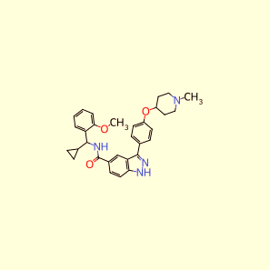 COc1ccccc1C(NC(=O)c1ccc2[nH]nc(-c3ccc(OC4CCN(C)CC4)cc3)c2c1)C1CC1